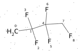 [CH2]C(F)(F)C(F)(F)CF